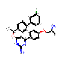 CC(N)COc1ccc(-c2cc(OC(c3ccc(-c4cccc(F)c4)cc3)C(F)(F)F)nc(N)n2)cc1